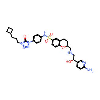 Nc1ccc(C(O)CNCC2CCc3cc(S(=O)(=O)Nc4ccc(-n5nnn(CCCC6CCC6)c5=O)cc4)ccc3O2)cn1